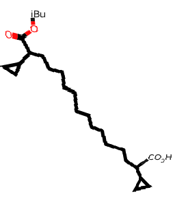 CCC(C)OC(=O)C(CCCCCCCCCCCCC(C(=O)O)C1CC1)C1CC1